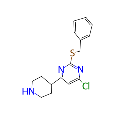 Clc1cc(C2CCNCC2)nc(SCc2ccccc2)n1